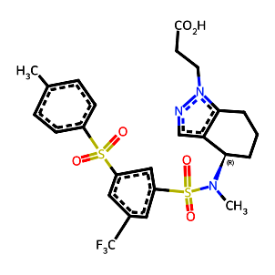 Cc1ccc(S(=O)(=O)c2cc(C(F)(F)F)cc(S(=O)(=O)N(C)[C@@H]3CCCc4c3cnn4CCC(=O)O)c2)cc1